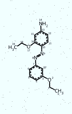 CCOc1cccc(N=Nc2ccc(N)cc2OCC)c1